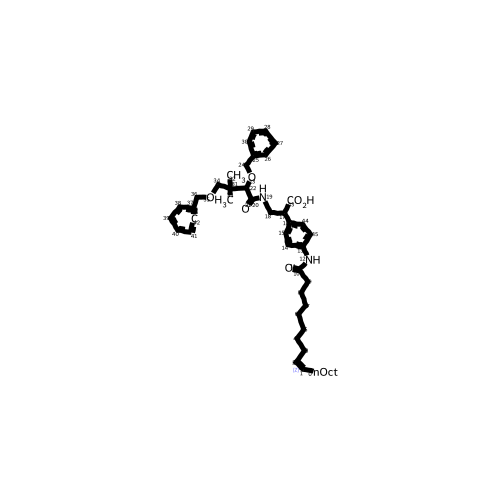 CCCCCCCC/C=C\CCCCCCCC(=O)Nc1ccc(C(CNC(=O)C(OCc2ccccc2)C(C)(C)COCc2ccccc2)C(=O)O)cc1